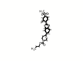 CCCOC(=O)N1CCC(c2ccc3nc(-c4ccc(S(C)(=O)=O)cc4F)sc3c2)CC1